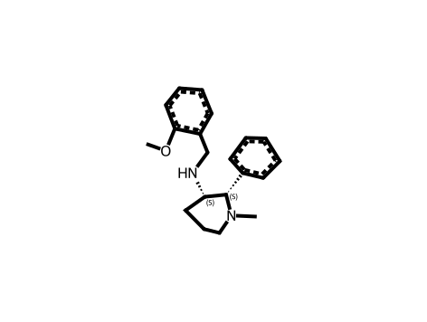 COc1ccccc1CN[C@H]1CCCN(C)[C@H]1c1ccccc1